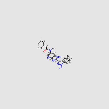 CN(C(=O)CC1CCCCC1)c1cnc2nc(-c3n[nH]c4c3C[C@@H]3C[C@]3(C)C4)[nH]c2c1